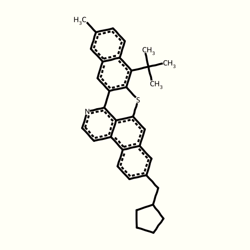 Cc1ccc2c(C(C)(C)C)c3c(cc2c1)-c1nccc2c1c(cc1cc(CC4CCCC4)ccc12)S3